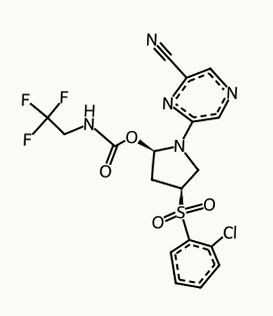 N#Cc1cncc(N2C[C@@H](S(=O)(=O)c3ccccc3Cl)C[C@H]2OC(=O)NCC(F)(F)F)n1